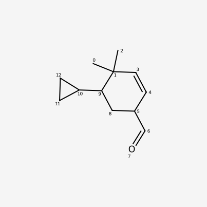 CC1(C)C=CC(C=O)CC1C1CC1